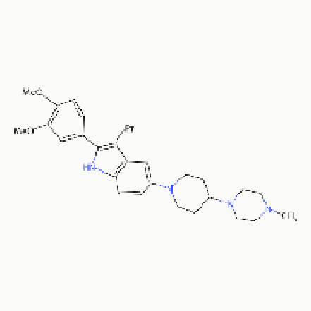 COc1ccc(-c2[nH]c3ccc(N4CCC(N5CCN(C)CC5)CC4)cc3c2C(C)C)cc1OC